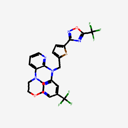 FC(F)(F)c1cnnc(N(Cc2ccc(-c3noc(C(F)(F)F)n3)s2)c2ncccc2N2CCOCC2)c1